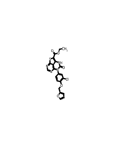 CCOC(=O)c1sc2ncnc3c2c1NC(=O)N3c1ccc(OCc2ccco2)c(Cl)c1